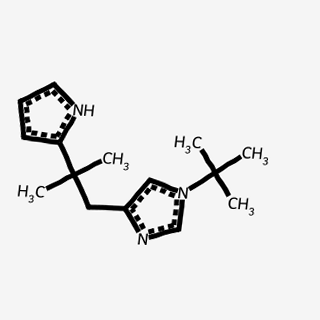 CC(C)(Cc1cn(C(C)(C)C)cn1)c1ccc[nH]1